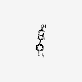 Cc1ccc(-c2cn3nc(O)sc3n2)cc1